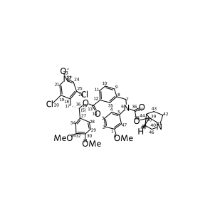 COc1cccc(N(Cc2cccc(C(=O)O[C@@H](Cc3c(Cl)c[n+]([O-])cc3Cl)c3ccc(OC)c(OC)c3)c2)C(=O)O[C@H]2CN3CCC2CC3)c1